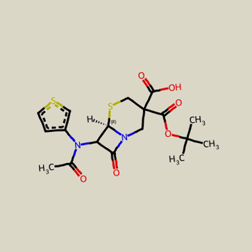 CC(=O)N(c1ccsc1)C1C(=O)N2CC(C(=O)O)(C(=O)OC(C)(C)C)CS[C@H]12